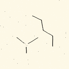 CN(C)C.[CH2]CCCC